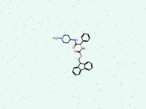 CN1CCC(NC(=O)[C@@H](NC(=O)OCC2c3ccccc3-c3ccccc32)c2ccccc2)CC1